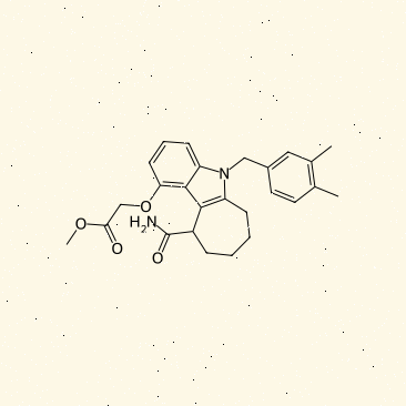 COC(=O)COc1cccc2c1c1c(n2Cc2ccc(C)c(C)c2)CCCCC1C(N)=O